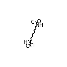 O=C(Cl)NCCCCCCCCNC(=O)Cl